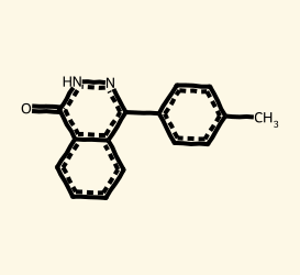 Cc1ccc(-c2n[nH]c(=O)c3ccccc23)cc1